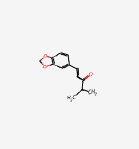 CC(C)C(=O)C=Cc1ccc2c(c1)OCO2